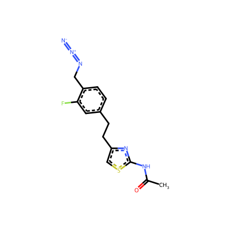 CC(=O)Nc1nc(CCc2ccc(CN=[N+]=[N-])c(F)c2)cs1